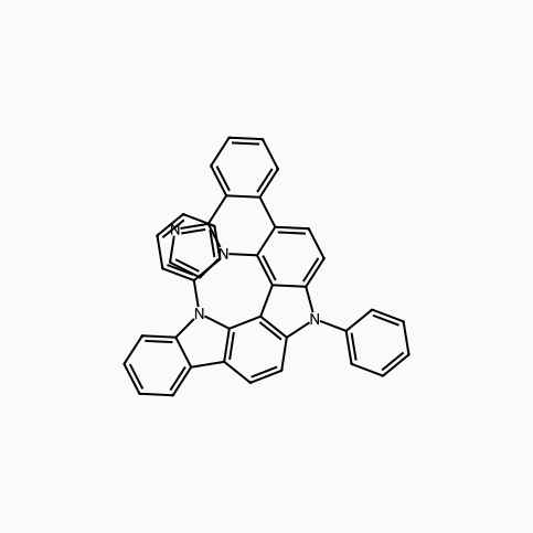 c1ccc(-n2c3ccc4c5ccccc5n(-c5ccccc5)c4c3c3c2ccc2c4ccccc4c4nccn4c23)cc1